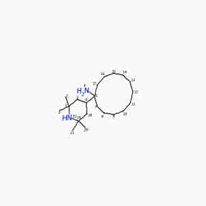 CC1(C)CC(C2(N)CCCCCCCCCCC2)CC(C)(C)N1